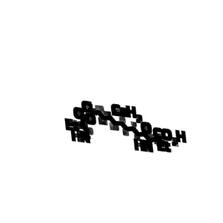 CC[C@H](C(=N)C(=O)CCCCCCCCC(=O)OC(=O)[C@@H](C=N)CC)C(=O)O.[CaH2]